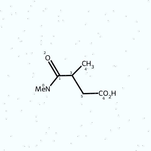 CNC(=O)C(C)CC(=O)O